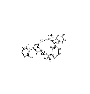 Cc1cccc(C)c1-c1cc2nc(n1)NS(=O)(=O)c1cccc(c1)C(=O)N(CC1CCCCC1)[C@H](CC(C)(C)C)CO2